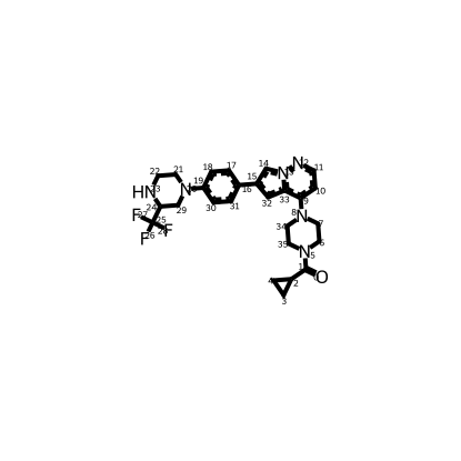 O=C(C1CC1)N1CCN(c2ccnn3cc(-c4ccc(N5CCNC(C(F)(F)F)C5)cc4)cc23)CC1